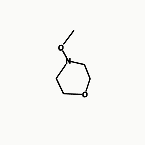 CON1CCOCC1